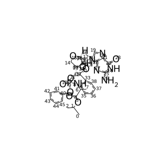 CC(C)OC(=O)C(C)NP(=O)(OC[C@@]12CO[C@@H]([C@H](n3cnc4c(=O)[nH]c(N)nc43)O1)[C@@H]2OCc1ccccc1)Oc1ccccc1